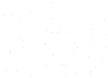 C[C@@]12CCCN1c1ncccc1S(=O)(=O)NC2